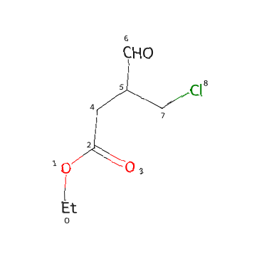 CCOC(=O)CC(C=O)CCl